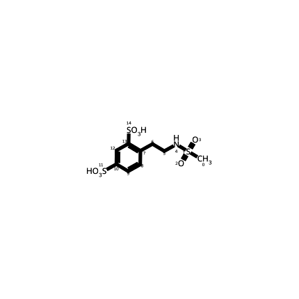 CS(=O)(=O)NCCc1ccc(S(=O)(=O)O)cc1S(=O)(=O)O